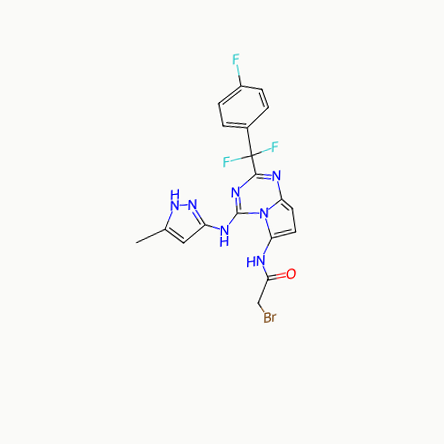 Cc1cc(Nc2nc(C(F)(F)c3ccc(F)cc3)nc3ccc(NC(=O)CBr)n23)n[nH]1